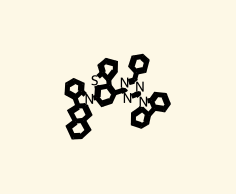 c1ccc(-c2nc(-c3ccc(-n4c5ccccc5c5cc6ccccc6cc54)c4sc5ccccc5c34)nc(-n3c4ccccc4c4ccccc43)n2)cc1